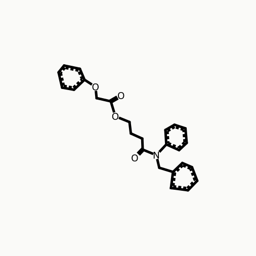 O=C(COc1ccccc1)OCCCC(=O)N(Cc1ccccc1)c1ccccc1